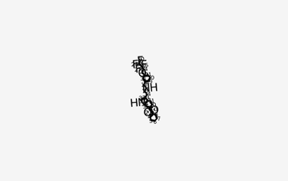 O=S(=O)(c1ccccc1)c1ccc2c(CCNCc3cccc(OCC(F)(F)C(F)F)c3)c[nH]c2c1